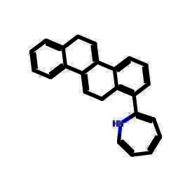 C1=CC=C(c2cccc3c2CC=C2C3=CCc3ccccc32)NC=C1